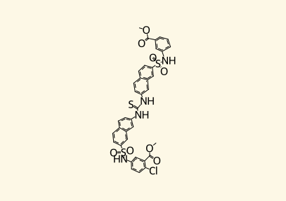 COC(=O)c1cccc(NS(=O)(=O)c2ccc3ccc(NC(=S)Nc4ccc5ccc(S(=O)(=O)Nc6ccc(Cl)c(C(=O)OC)c6)cc5c4)cc3c2)c1